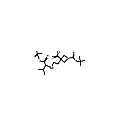 CC(C)C(NCCC1(C(=O)O)CN(C(=O)OC(C)(C)C)C1)C(=O)OC(C)(C)C